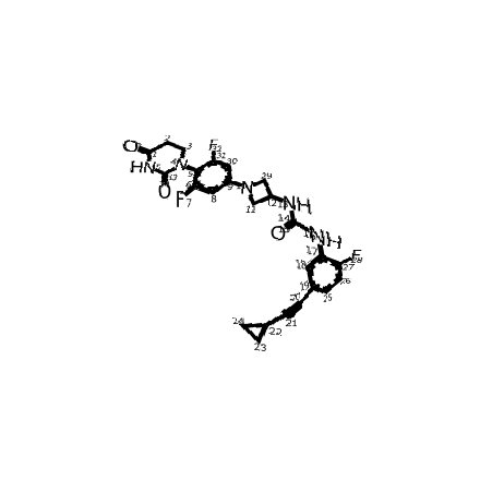 O=C1CCN(c2c(F)cc(N3CC(NC(=O)Nc4cc(C#CC5CC5)ccc4F)C3)cc2F)C(=O)N1